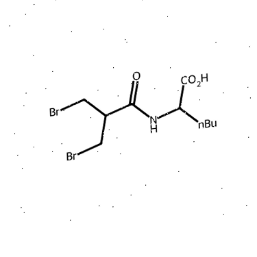 CCCCC(NC(=O)C(CBr)CBr)C(=O)O